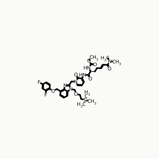 COC(=O)N[C@@H](CC/C=C/C(=O)N(C)C)C(=O)Nc1cccn(Cc2nc3c(COc4ccc(F)cc4F)cccc3n2COCC[Si](C)(C)C)c1=O